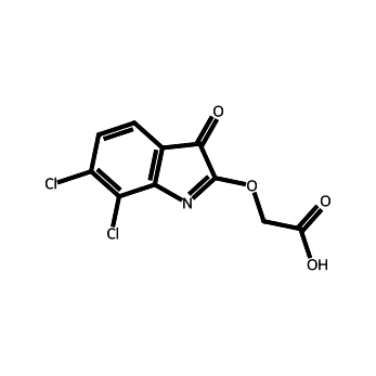 O=C(O)COC1=Nc2c(ccc(Cl)c2Cl)C1=O